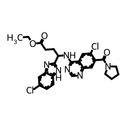 CCOC(=O)CCC(Nc1ncnc2cc(C(=O)N3CCCC3)c(Cl)cc12)c1nc2cc(Cl)ccc2[nH]1